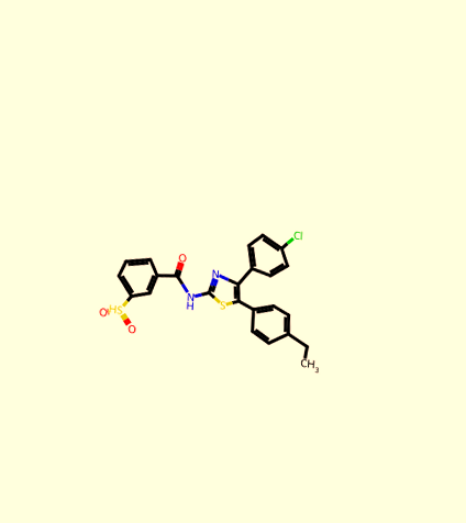 CCc1ccc(-c2sc(NC(=O)c3cccc([SH](=O)=O)c3)nc2-c2ccc(Cl)cc2)cc1